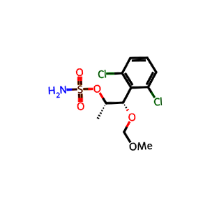 COCO[C@@H](c1c(Cl)cccc1Cl)[C@H](C)OS(N)(=O)=O